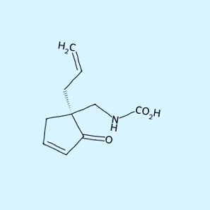 C=CC[C@@]1(CNC(=O)O)CC=CC1=O